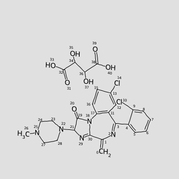 C=C1N=C(c2ccccc2Cl)c2cc(Cl)ccc2N2C(=O)C(N3CCN(C)CC3)N=C12.O=C(O)C(O)C(O)C(=O)O